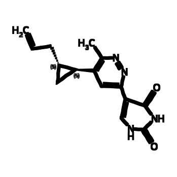 C=CC[C@H]1C[C@@H]1c1cc(-c2c[nH]c(=O)[nH]c2=O)nnc1C